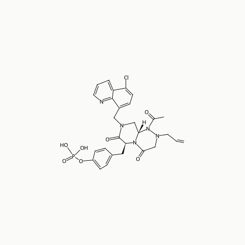 C=CCN1CC(=O)N2[C@@H](Cc3ccc(OP(=O)(O)O)cc3)C(=O)N(Cc3ccc(Cl)c4cccnc34)C[C@@H]2N1C(C)=O